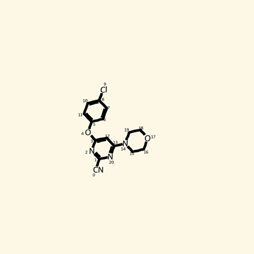 N#Cc1nc(Oc2ccc(Cl)cc2)cc(N2CCOCC2)n1